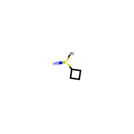 CC(C)S(=N)C1CCC1